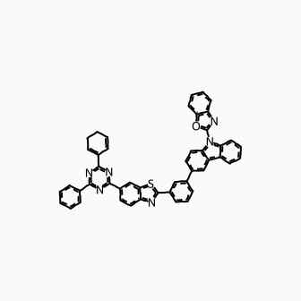 C1=CC(c2nc(-c3ccccc3)nc(-c3ccc4nc(-c5cccc(-c6ccc7c(c6)c6ccccc6n7-c6nc7ccccc7o6)c5)sc4c3)n2)=CCC1